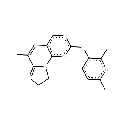 Cc1ccc(Nc2ncc3c(n2)N2CCN=C2C(Br)=C3)c(C)n1